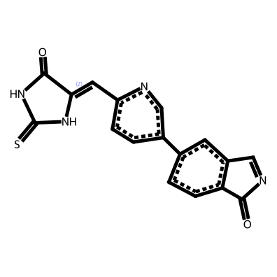 O=C1NC(=S)N/C1=C\c1ccc(-c2ccc3c(c2)C=NC3=O)cn1